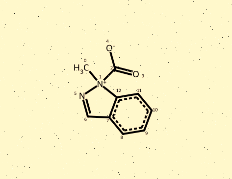 C[N+]1(C(=O)[O-])N=Cc2ccccc21